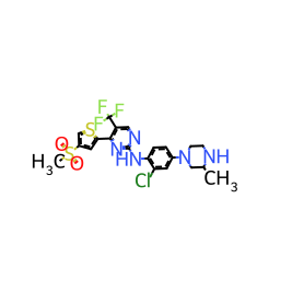 CC1CN(c2ccc(Nc3ncc(C(F)(F)F)c(-c4cc(S(C)(=O)=O)cs4)n3)c(Cl)c2)CCN1